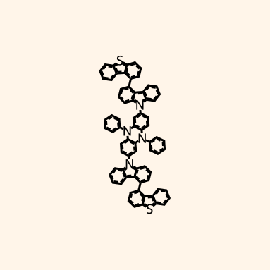 c1ccc(N2c3ccc(-n4c5ccccc5c5c(-c6cccc7sc8ccccc8c67)cccc54)cc3N(c3ccccc3)c3ccc(-n4c5ccccc5c5c(-c6cccc7sc8ccccc8c67)cccc54)cc32)cc1